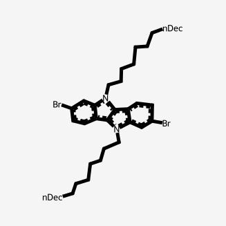 CCCCCCCCCCCCCCCCCn1c2cc(Br)ccc2c2c1c1ccc(Br)cc1n2CCCCCCCCCCCCCCCCC